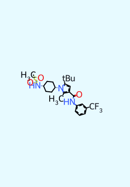 Cc1c(C(=O)Nc2cccc(C(F)(F)F)c2)cc(C(C)(C)C)n1[C@H]1CC[C@@H](NS(C)(=O)=O)CC1